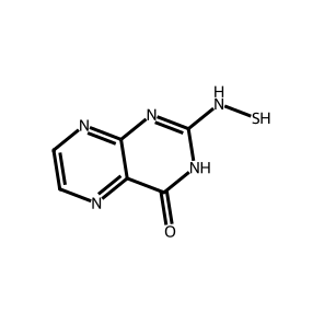 O=c1[nH]c(NS)nc2nccnc12